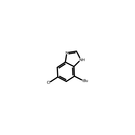 CC(C)(C)c1cc(Cl)cc2nc[nH]c12